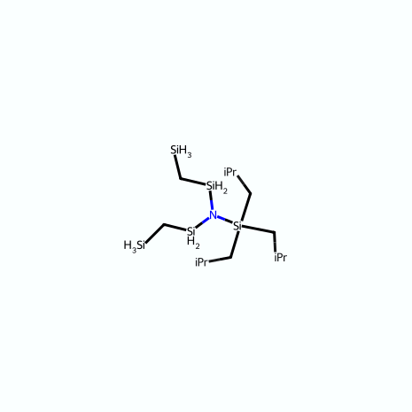 CC(C)C[Si](CC(C)C)(CC(C)C)N([SiH2]C[SiH3])[SiH2]C[SiH3]